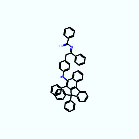 N=C(/N=C(\Cc1ccc(Nc2c(-c3ccccc3)c3c(c4ccccc24)-c2ccccc2C3(c2ccccc2)c2ccccc2)cc1)c1ccccc1)c1ccccc1